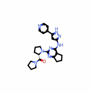 O=C([C@@H]1CCCN1c1nc2c(c(Nc3cc(-c4ccncc4)[nH]n3)n1)CCC2)N1CCCC1